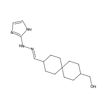 OCC1CCC2(CCC(/C=N/Nc3ncc[nH]3)CC2)CC1